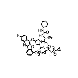 C=C[C@@H]1C[C@]1(NC(=O)[C@@H]1C[C@@H](Oc2c3ccc(F)cc3nc3c2oc2c(OC)cccc23)CN1C(=O)[C@@H](NC(=O)NC1CCCCC1)C(C)C)C(=O)NS(=O)(=O)C1CC1